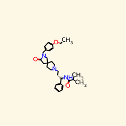 CCOc1ccc(CN2CC3(CCN(CC[C@H](NC(=O)C(C)C)c4ccccc4)CC3)CC2=O)cc1